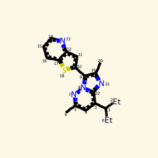 CCC(CC)c1cc(C)nn2c(-c3cc4ncccc4s3)c(C)nc12